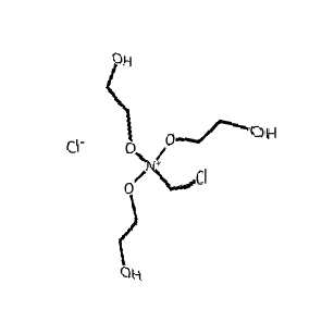 OCCO[N+](CCl)(OCCO)OCCO.[Cl-]